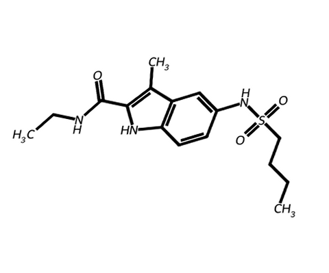 CCCCS(=O)(=O)Nc1ccc2[nH]c(C(=O)NCC)c(C)c2c1